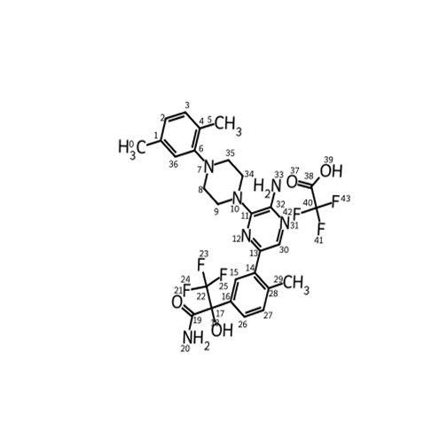 Cc1ccc(C)c(N2CCN(c3nc(-c4cc(C(O)(C(N)=O)C(F)(F)F)ccc4C)cnc3N)CC2)c1.O=C(O)C(F)(F)F